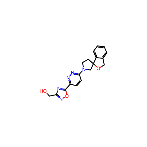 OCc1noc(-c2ccc(N3CCC4(C3)OCc3ccccc34)nn2)n1